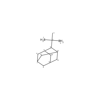 BC(B)(C)C1C2CC3CC(C2)CC1C3